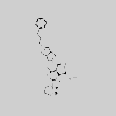 Cc1nc(N2CCCS2(=O)=O)nc(C(N)=O)c1C(=O)N1CC2CN(CC[CH]c3ccccc3)C[C@H]2C1